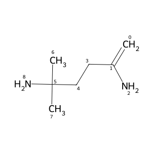 C=C(N)CCC(C)(C)N